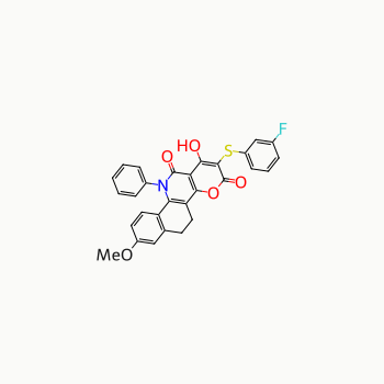 COc1ccc2c(c1)CCc1c-2n(-c2ccccc2)c(=O)c2c(O)c(Sc3cccc(F)c3)c(=O)oc12